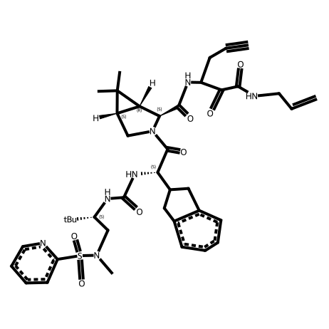 C#CCC(NC(=O)[C@@H]1[C@@H]2[C@H](CN1C(=O)[C@@H](NC(=O)N[C@H](CN(C)S(=O)(=O)c1ccccn1)C(C)(C)C)C1Cc3ccccc3C1)C2(C)C)C(=O)C(=O)NCC=C